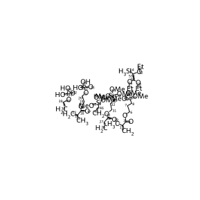 C=C(C)C(=O)OCCC[Si](OC)(OC)OC.C=C(C)C(=O)OCCOP(=O)(O)O.C=CC(=O)OCCC[Si](OC)(OC)OC.C=COP(=O)(O)O.C=C[Si](OC)(OC)OC.CCOC([SiH3])=C(OCC)OCC